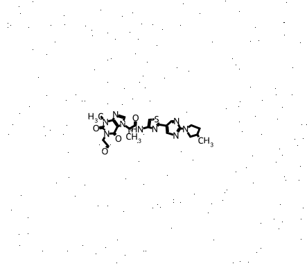 CC1CCN(c2ncc(-c3nc(NC(=O)[C@H](C)n4cnc5c4c(=O)n(CC=O)c(=O)n5C)cs3)cn2)C1